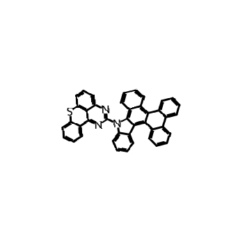 c1ccc2c(c1)Sc1cccc3nc(-n4c5ccccc5c5c6c7ccccc7c7ccccc7c6c6ccccc6c54)nc-2c13